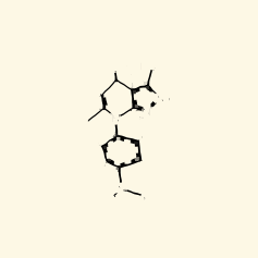 CC1=CC(C(=O)O)c2c(C)n[nH]c2N1c1ccc(N(C)C)cc1